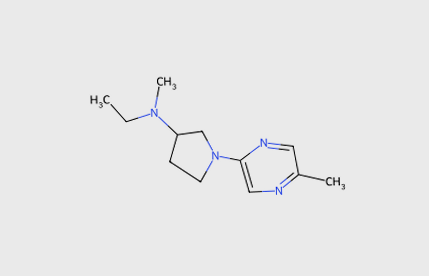 CCN(C)C1CCN(c2cnc(C)cn2)C1